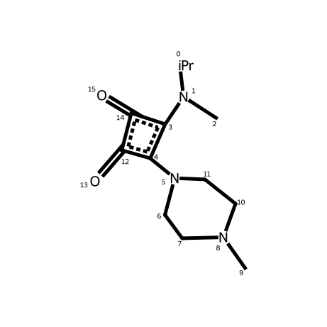 CC(C)N(C)c1c(N2CCN(C)CC2)c(=O)c1=O